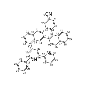 N#Cc1ccc(-c2c(-c3ccc4cccc(-c5cc(-c6ccccn6)nc(-c6ccccn6)c5)c4c3)ccc3ccccc23)cc1